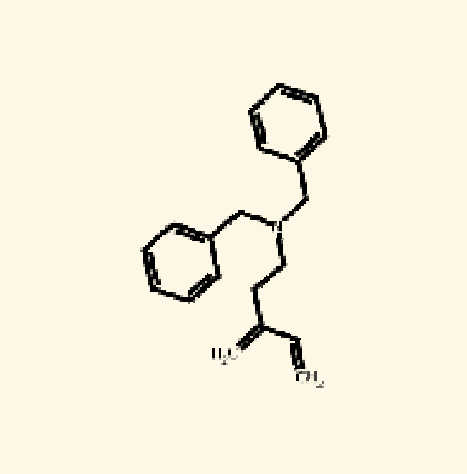 C=CC(=C)CCN(Cc1ccccc1)Cc1ccccc1